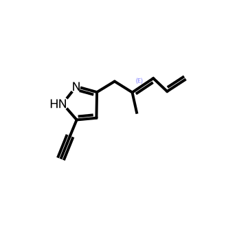 C#Cc1cc(C/C(C)=C/C=C)n[nH]1